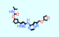 CC(C)NC(=O)OC1CCC(c2cc(Nc3nccn4nc(COC5CCOC5)cc34)n[nH]2)C1